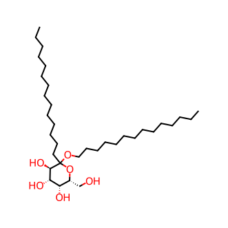 CCCCCCCCCCCCCCOC1(CCCCCCCCCCCCCC)O[C@H](CO)[C@H](O)[C@H](O)[C@H]1O